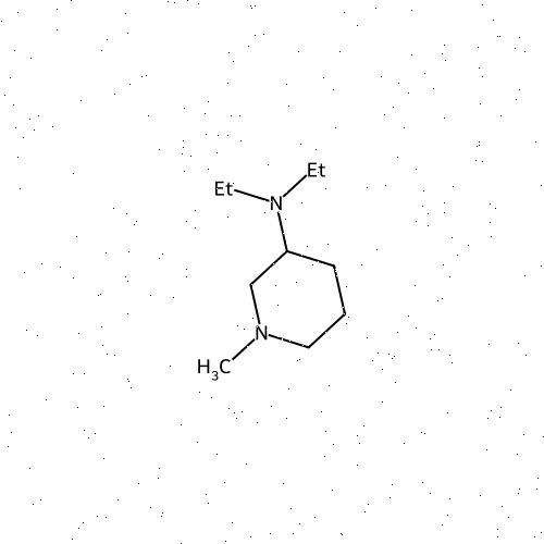 CCN(CC)C1CCCN(C)C1